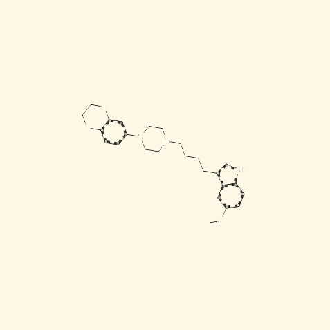 CCOc1ccc2[nH]cc(CCCCN3CCN(c4ccc5c(c4)OCCO5)CC3)c2c1